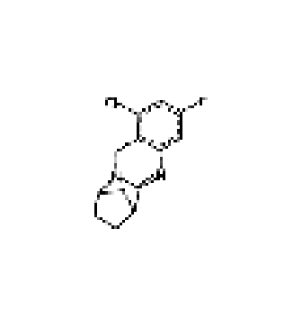 Fc1cc(Cl)c2c(c1)N=C1C3CCC(C3)N1C2